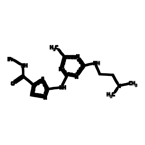 Cc1nc(NCCN(C)C)nc(Nc2ncc(C(=O)NC(C)C)s2)n1